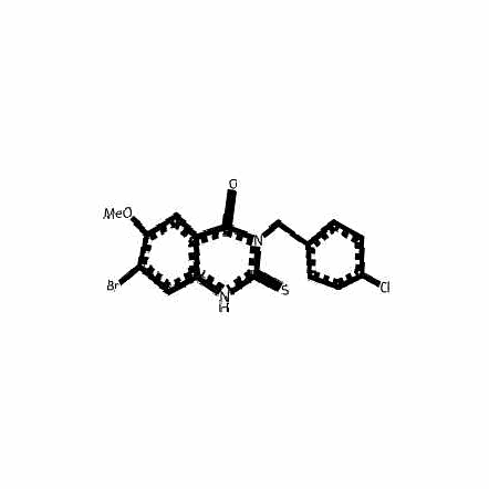 COc1cc2c(=O)n(Cc3ccc(Cl)cc3)c(=S)[nH]c2cc1Br